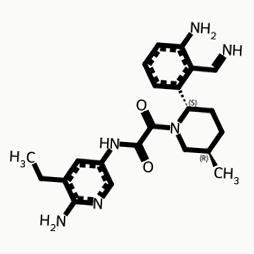 CCc1cc(NC(=O)C(=O)N2C[C@H](C)CC[C@H]2c2cccc(N)c2C=N)cnc1N